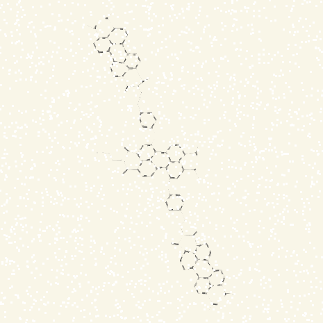 CC(=O)c1ccc2c3ccc4c5c(ccc(c6ccc(C(C)=O)c1c26)c53)C(=O)N(CCc1ccc(Oc2cc(C(C)=O)c3c(C(C)=O)ccc5c6c(Oc7ccc(CCN8C(=O)c9ccc%10c%11ccc(C(C)=O)c%12c(C(C)=O)ccc(c%13ccc(c9c%10%13)C8=O)c%12%11)cc7)cc7c8c(ccc(c2c35)c86)C(=O)N(CCO)C7=O)cc1)C4=O